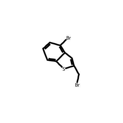 BrCc1cc2c(Br)cccc2s1